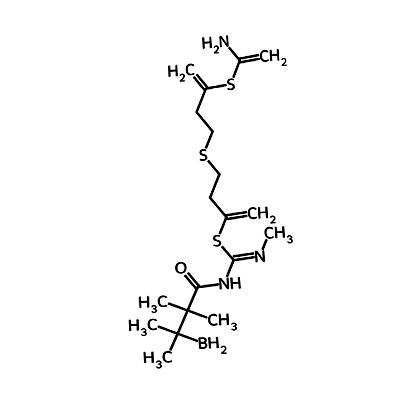 BC(C)(C)C(C)(C)C(=O)N/C(=N/C)SC(=C)CCSCCC(=C)SC(=C)N